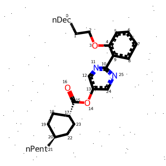 CCCCCCCCCCCCOc1ccccc1-c1ncc(OC(=O)[C@H]2CC[C@H](CCCCC)CC2)cn1